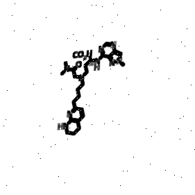 CN(C)C(=O)CN(CCCCc1ccc2c(n1)NCCC2)CC[C@H](Nc1ncnc2cn(C)nc12)C(=O)O